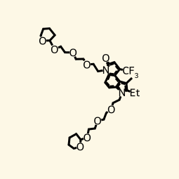 CCc1c(C)c2c3c(C(F)(F)F)cc(=O)n(CCOCCOCCOC4CCCCO4)c3ccc2n1CCOCCOCCOC1CCCCO1